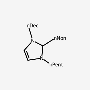 CCCCCCCCCCN1C=CN(CCCCC)C1CCCCCCCCC